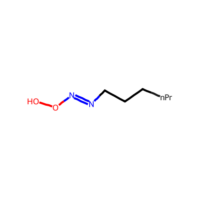 CCCCCC/N=N/OO